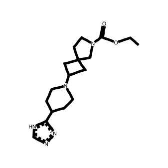 CCOC(=O)N1CCC2(CC(N3CCC(c4nnc[nH]4)CC3)C2)C1